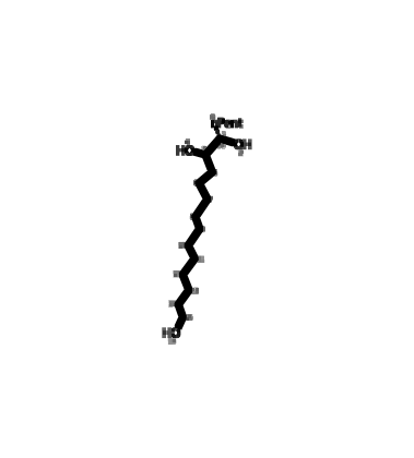 CCCCC[C@H](O)C(O)CCCCCCCCCCCO